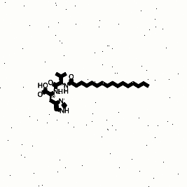 CCCCCCCCCCCCCCCC(=O)N[C@H](C(=O)N[C@@H](Cc1c[nH]cn1)C(=O)O)C(C)C